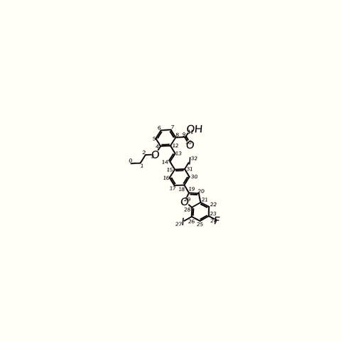 CCCOc1cccc(C(=O)O)c1/C=C/c1ccc(-c2cc3cc(F)cc(I)c3o2)cc1I